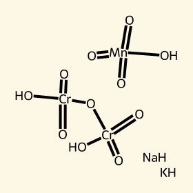 [KH].[NaH].[O]=[Cr](=[O])([OH])[O][Cr](=[O])(=[O])[OH].[O]=[Mn](=[O])(=[O])[OH]